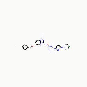 N=N/C(=C\Nc1cnc(N2CCC(F)(F)CC2)c(F)c1)C(=O)Nc1c[nH]c2ccc(OCCc3ccc(C(F)(F)F)cc3)cc12